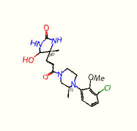 COc1c(Cl)cccc1N1CCN(C(=O)CC[C@@]2(C)NC(=O)NC2O)C[C@@H]1C